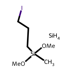 CO[Si](C)(CCCI)OC.[SiH4]